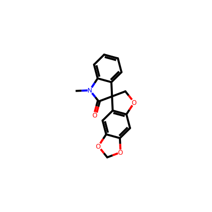 CN1C(=O)C2(COc3cc4c(cc32)OCO4)c2ccccc21